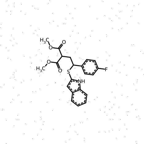 COC(=O)C(CC(Sc1cc2ccccc2[nH]1)c1ccc(F)cc1)C(=O)OC